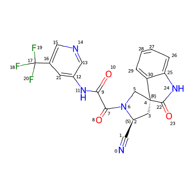 N#C[C@@H]1C[C@@]2(CN1C(=O)C(=O)Nc1cncc(C(F)(F)F)c1)C(=O)Nc1ccccc12